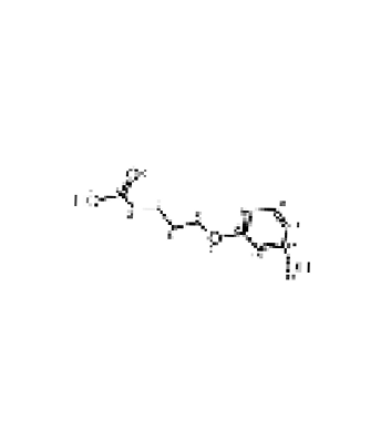 O=C(O)CCCCOc1cccc(O)c1